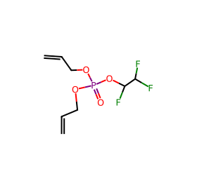 C=CCOP(=O)(OCC=C)OC(F)C(F)F